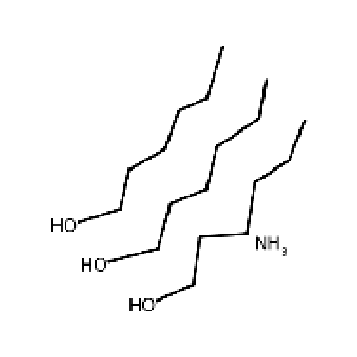 CCCCCCO.CCCCCCO.CCCCCCO.N